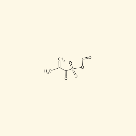 C=C(C)C(=O)S(=O)(=O)OC=O